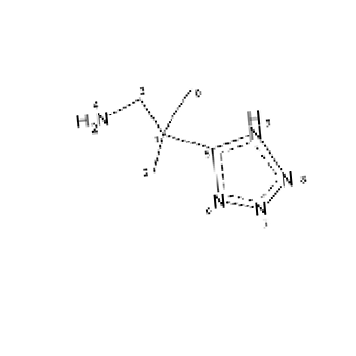 CC(C)(CN)c1nnn[nH]1